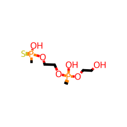 C=P(O)(OCCO)OCCOP(C)(O)=S